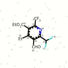 CCOC(=O)c1c(C(F)(F)F)nc(C(F)F)c(C=O)c1CC